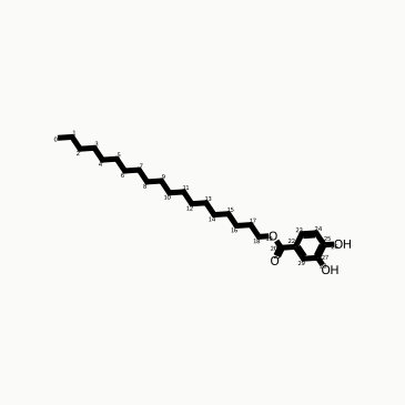 CCCCCCCCCCCCCCCCCCCOC(=O)c1ccc(O)c(O)c1